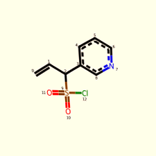 C=CC(c1cccnc1)S(=O)(=O)Cl